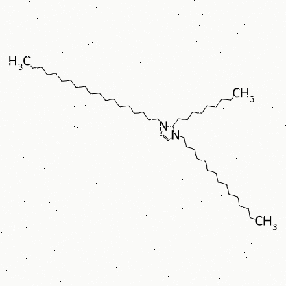 CCCCCCCCCCCCCCCCCCCN1C=CN(CCCCCCCCCCCCCCC)C1CCCCCCCCC